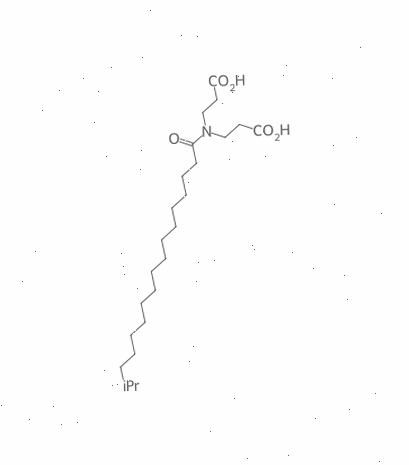 CC(C)CCCCCCCCCCCCCCC(=O)N(CCC(=O)O)CCC(=O)O